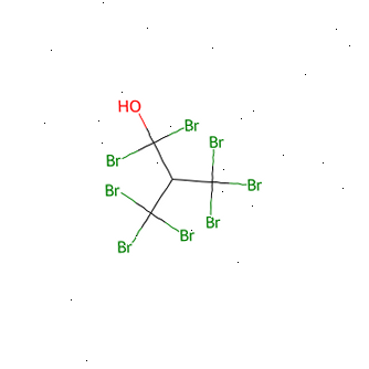 OC(Br)(Br)C(C(Br)(Br)Br)C(Br)(Br)Br